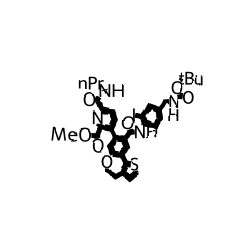 CCCNC(=O)c1ccc(-c2cc3c(cc2C(=O)Nc2ccc(CNC(=O)OC(C)(C)C)cc2I)-c2sccc2CCO3)c(C(=O)OC)n1